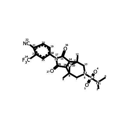 CN(C)S(=O)(=O)N1CC2(C)OC(C)(C1)C1C(=O)N(c3ccc(C#N)c(C(F)(F)F)c3)C(=O)C12